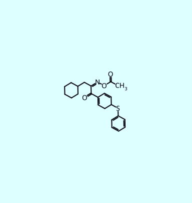 CC(=O)O/N=C(/CC1CCCCC1)C(=O)C1=CCC(Sc2ccccc2)C=C1